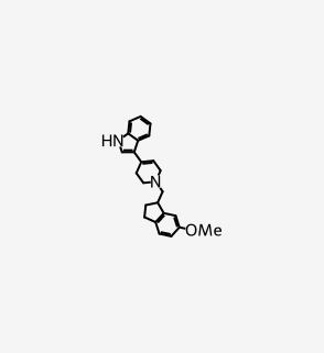 COc1ccc2c(c1)C(CN1CC=C(c3c[nH]c4ccccc34)CC1)CC2